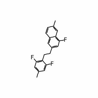 Cc1cc(F)c(CCc2cc(F)c3cc(C)ccc3c2)c(F)c1